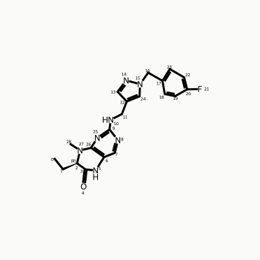 CC[C@@H]1C(=O)Nc2cnc(NCc3cnn(Cc4ccc(F)cc4)c3)nc2N1C